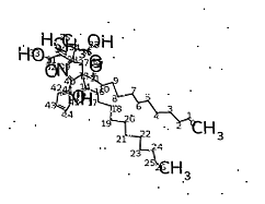 CCCCCCCCCCCC(=O)C1(C(=O)CCCCCCCCCCC)CC(C(C)C(=O)O)(C(C)C(=O)O)N=C1c1ccc[nH]1